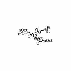 CCCCCCCCC(CCCCCCCC)CC(=O)OCC(COC(=O)CC(CCCCCCCC)CCCCCCCC)COC(=O)OCCCN(CC)CC